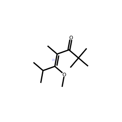 CO/C(=C(/C)C(=O)C(C)(C)C)C(C)C